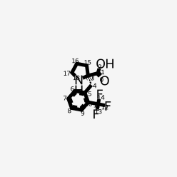 O=C(O)[C@]1(Cc2ccccc2C(F)(F)F)CCCN1